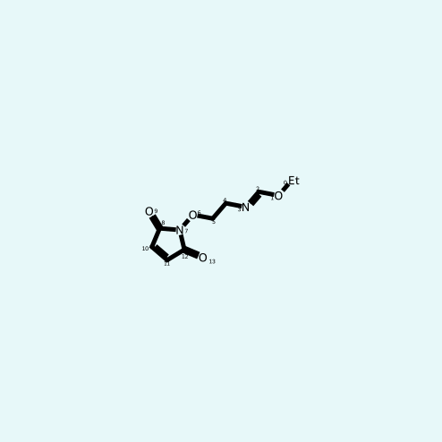 CCO/C=N/CCON1C(=O)C=CC1=O